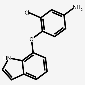 Nc1ccc(Oc2cccc3cc[nH]c23)c(Cl)c1